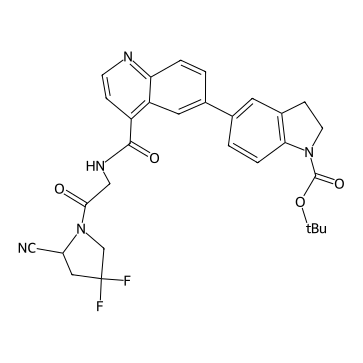 CC(C)(C)OC(=O)N1CCc2cc(-c3ccc4nccc(C(=O)NCC(=O)N5CC(F)(F)CC5C#N)c4c3)ccc21